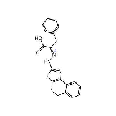 O=C(O)/C(Cc1ccccc1)=N\Nc1nc2c(s1)CCc1ccccc1-2